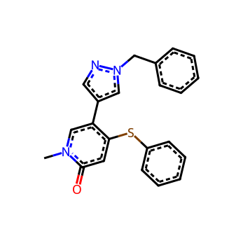 Cn1cc(-c2cnn(Cc3ccccc3)c2)c(Sc2ccccc2)cc1=O